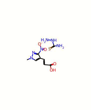 Cn1cc(/C=C/C(=O)O)c([N+](=O)[O-])n1.NNC(N)=S